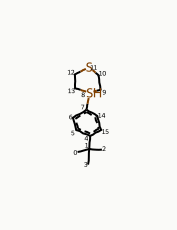 CC(C)(C)c1ccc([SH]2CCSCC2)cc1